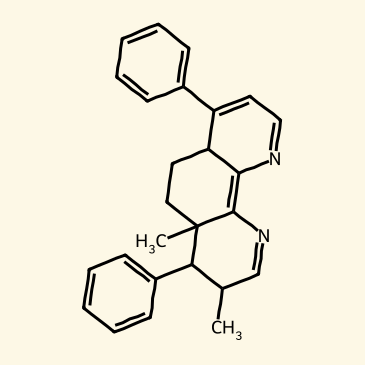 CC1C=NC2=C3N=CC=C(c4ccccc4)C3CCC2(C)C1c1ccccc1